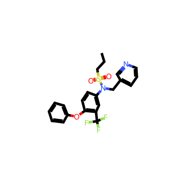 CCCS(=O)(=O)N(Cc1cccnc1)c1ccc(Oc2ccccc2)c(C(F)(F)F)c1